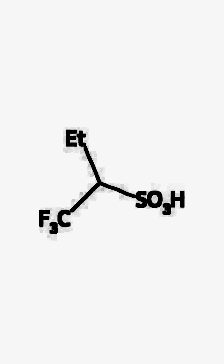 [CH2]CC(C(F)(F)F)S(=O)(=O)O